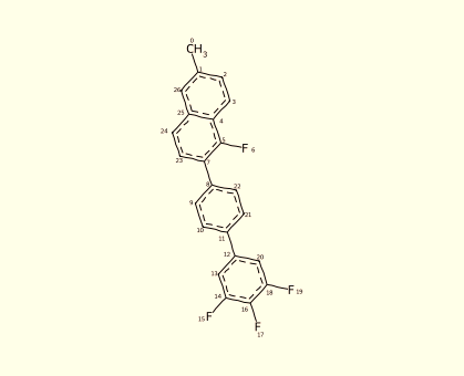 Cc1ccc2c(F)c(-c3ccc(-c4cc(F)c(F)c(F)c4)cc3)ccc2c1